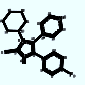 Fc1ccc(-c2[nH]c(=S)n(C3CCCCC3)c2-c2ccncc2)cc1